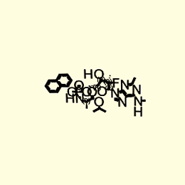 CNc1nc(C)nc2c1ncn2[C@@H]1O[C@H](COP(=O)(N[C@H](C)C(=O)OC(C)C)Oc2cccc3ccccc23)[C@@H](O)[C@@]1(C)F